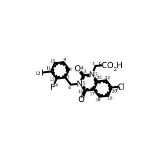 O=C(O)Cn1c(=O)n(Cc2cccc(I)c2F)c(=O)c2ccc(Cl)cc21